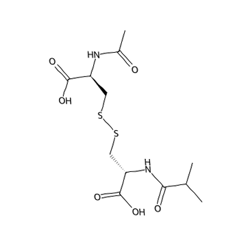 CC(=O)N[C@@H](CSSC[C@H](NC(=O)C(C)C)C(=O)O)C(=O)O